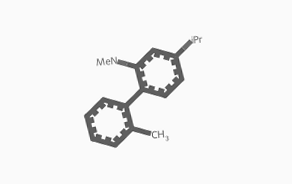 CNc1cc(C(C)C)ccc1-c1ccccc1C